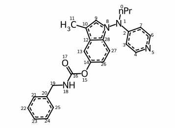 CCCN(c1ccncc1)n1cc(C)c2cc(OC(=O)NCc3ccccc3)ccc21